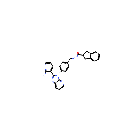 Nc1ncccc1-c1nc2cccnc2n1-c1ccc(CNC(=O)C2Cc3ccccc3C2)cc1